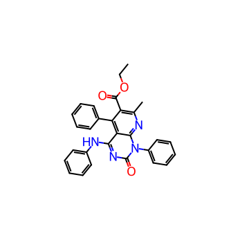 CCOC(=O)c1c(C)nc2c(c(Nc3ccccc3)nc(=O)n2-c2ccccc2)c1-c1ccccc1